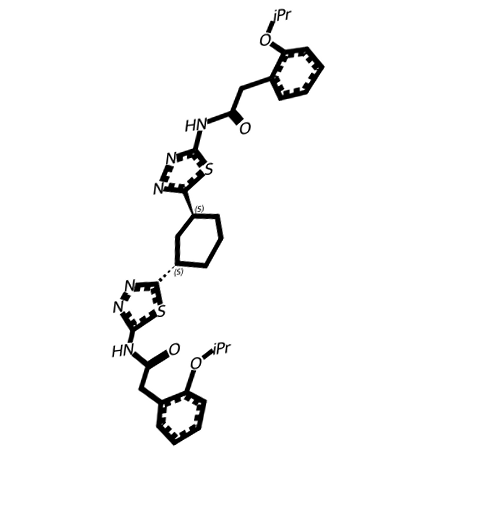 CC(C)Oc1ccccc1CC(=O)Nc1nnc([C@H]2CCC[C@H](c3nnc(NC(=O)Cc4ccccc4OC(C)C)s3)C2)s1